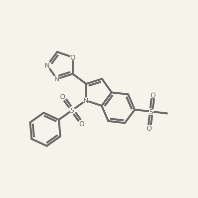 CS(=O)(=O)c1ccc2c(c1)cc(-c1nnco1)n2S(=O)(=O)c1ccccc1